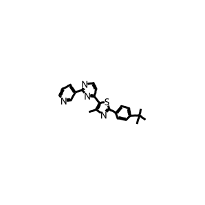 Cc1nc(-c2ccc(C(C)(C)C)cc2)sc1-c1ccnc(-c2cccnc2)n1